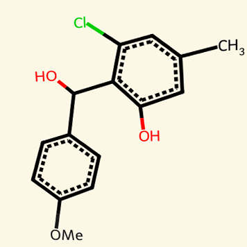 COc1ccc(C(O)c2c(O)cc(C)cc2Cl)cc1